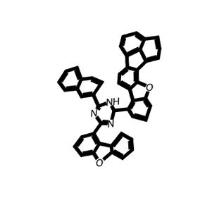 c1ccc2cc(C3=NC(c4cccc5oc6ccccc6c45)=NC(c4cccc5oc6c7c(ccc6c45)-c4cccc5cccc-7c45)N3)ccc2c1